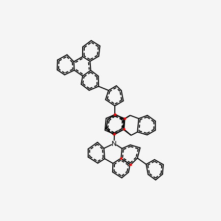 c1ccc(-c2ccc(N(c3ccccc3-c3ccccc3)c3ccc(-c4cccc(-c5ccc6c7ccccc7c7ccccc7c6c5)c4)c4c3C3c5ccccc5C4c4ccccc43)cc2)cc1